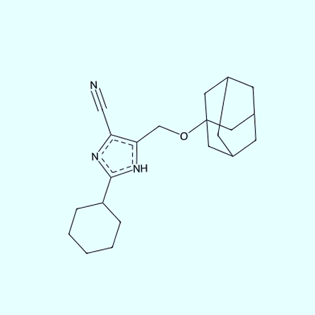 N#Cc1nc(C2CCCCC2)[nH]c1COC12CC3CC(CC(C3)C1)C2